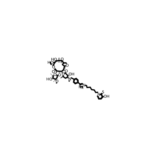 CC[C@H]1OC(=O)[C@H](C)[C@@H](O[C@H]2C[C@@](C)(OC)[C@@H](O)[C@H](C)O2)[C@H](C)[C@@H](O[C@@H]2O[C@H](C)C[C@H](N(C)Cc3ccc(-c4cn(CCCCCCCn5cccc(O)c5=S)nn4)cc3)[C@H]2O)[C@@]2(C)C[C@@H](CO2)C(=O)[C@H](C)[C@@H](O)[C@]1(C)O